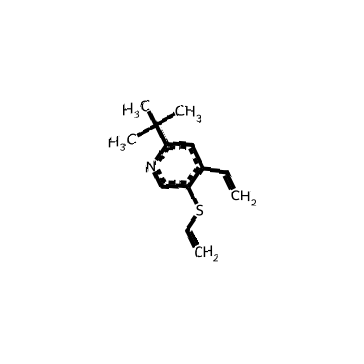 C=CSc1cnc(C(C)(C)C)cc1C=C